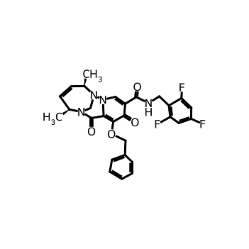 C[C@@H]1C=C[C@H](C)N2CN1n1cc(C(=O)NCc3c(F)cc(F)cc3F)c(=O)c(OCc3ccccc3)c1C2=O